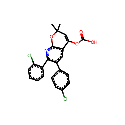 CC1(C)C=C(OC(=O)O)c2cc(-c3ccc(Cl)cc3)c(-c3ccccc3Cl)nc2O1